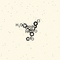 CN1CCc2nc(C(=O)N[C@@H]3C[C@@H](C(=O)N4CCCC4)CC[C@@H]3NC(=O)c3cc4cc(Cl)ccc4[nH]3)sc2C1